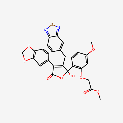 COC(=O)COc1cc(OC)ccc1C1(O)OC(=O)C(c2ccc3c(c2)OCO3)=C1Cc1ccc2nsnc2c1